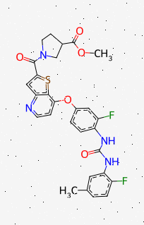 COC(=O)C1CCN(C(=O)c2cc3nccc(Oc4ccc(NC(=O)Nc5cc(C)ccc5F)c(F)c4)c3s2)C1